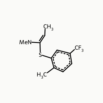 CC=C(NC)Sc1cc(C(F)(F)F)ccc1C